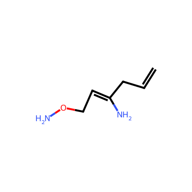 C=CCC(N)=CCON